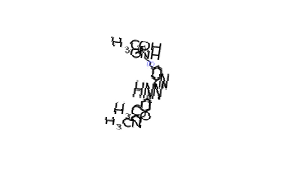 Cc1ccc(Oc2ccc(Nc3ncnc4ccc(/C=C/CNC(=O)[C@@H](C)O)cc34)cc2C)cn1